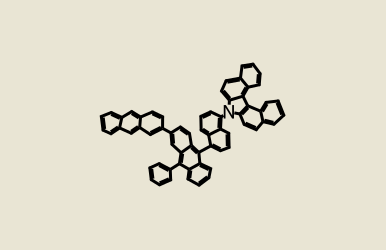 c1ccc(-c2c3ccccc3c(-c3cccc4c(-n5c6ccc7ccccc7c6c6c7ccccc7ccc65)cccc34)c3ccc(-c4ccc5cc6ccccc6cc5c4)cc23)cc1